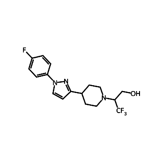 OCC(N1CCC(c2ccn(-c3ccc(F)cc3)n2)CC1)C(F)(F)F